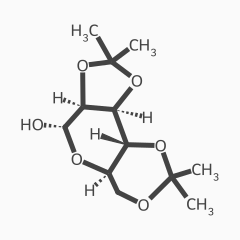 CC1(C)O[C@@H]2[C@H](O1)[C@@H](O)O[C@@H]1COC(C)(C)O[C@@H]21